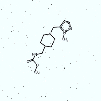 Cn1nccc1CN1CCC(CNC(=O)OC(C)(C)C)CC1